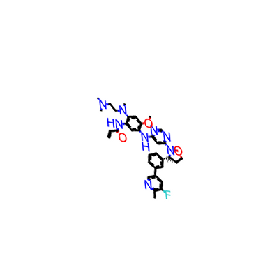 C=CC(=O)Nc1cc(Nc2cc(N3OCC[C@@H]3c3cccc(-c4cnc(C)c(F)c4)c3)ncn2)c(OC)cc1N(C)CCN(C)C